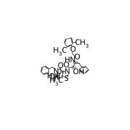 Cc1cccc(C)c1OCC(=O)N[C@@H](Cc1ccccc1)[C@H](O)C(=O)N1CSC(C)(C)[C@H]1C(=O)NCc1ccccc1O